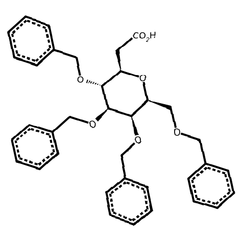 O=C(O)C[C@H]1O[C@@H](COCc2ccccc2)[C@@H](OCc2ccccc2)[C@@H](OCc2ccccc2)[C@@H]1OCc1ccccc1